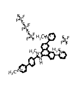 C[n+]1ccc(-c2ccc(-c3[nH]c4c5ccc(-c6cccc[n+]6C)cc5c5cc(-c6cccc[n+]6C)ccc5c4[n+]3C)cc2)cc1.F[B-](F)(F)F.F[B-](F)(F)F.F[B-](F)(F)F.F[B-](F)(F)F